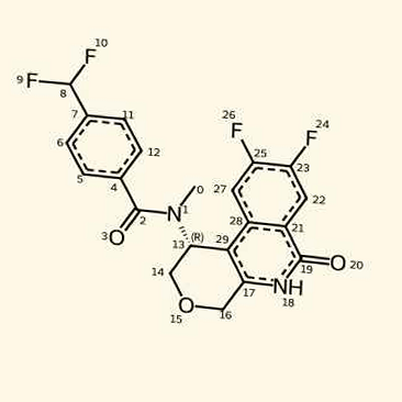 CN(C(=O)c1ccc(C(F)F)cc1)[C@H]1COCc2[nH]c(=O)c3cc(F)c(F)cc3c21